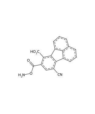 N#Cc1cc(C(=O)ON)c(C(=O)O)c2c1-c1cccc3cccc-2c13